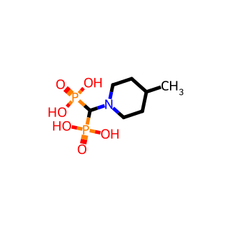 CC1CCN(C(P(=O)(O)O)P(=O)(O)O)CC1